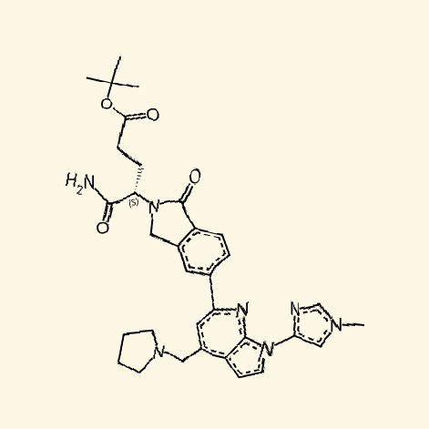 Cn1cnc(-n2ccc3c(CN4CCCC4)cc(-c4ccc5c(c4)CN([C@@H](CCC(=O)OC(C)(C)C)C(N)=O)C5=O)nc32)c1